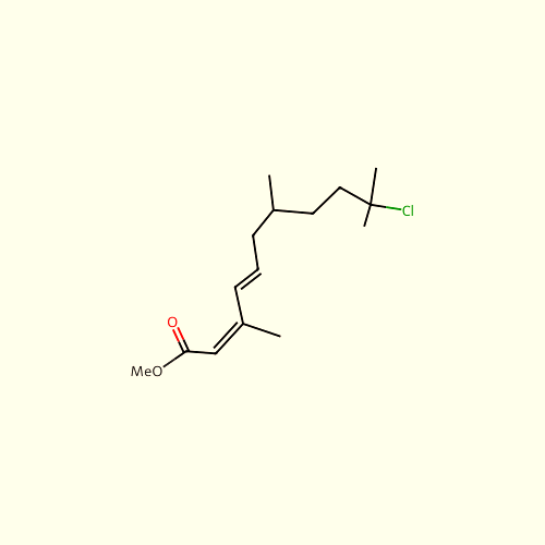 COC(=O)C=C(C)C=CCC(C)CCC(C)(C)Cl